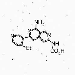 CCc1ccncc1-c1cc2cc(NC(=O)O)ncc2c(N)n1